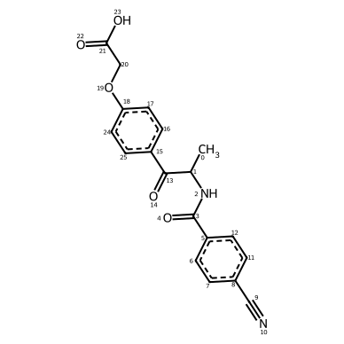 CC(NC(=O)c1ccc(C#N)cc1)C(=O)c1ccc(OCC(=O)O)cc1